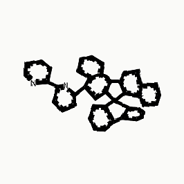 c1ccc(-c2cccc(-c3cc4c(c5ccccc35)-c3ccc5ccccc5c3C43c4ccccc4-c4ccccc43)n2)nc1